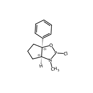 CN1[C@H]2CCC[C@@]2(c2ccccc2)OP1Cl